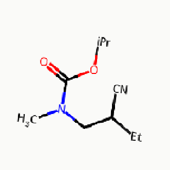 CCC(C#N)CN(C)C(=O)OC(C)C